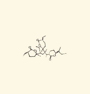 C/C=C1\CCC(C)(C(CC)CC(C)(C(C)C2CC/C(=C(\C)CC)OC2=O)C2(C)CC/C(=C\C)C(=O)O2)OC1=O